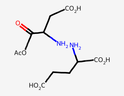 CC(=O)OC(=O)C(N)CC(=O)O.NC(CCC(=O)O)C(=O)O